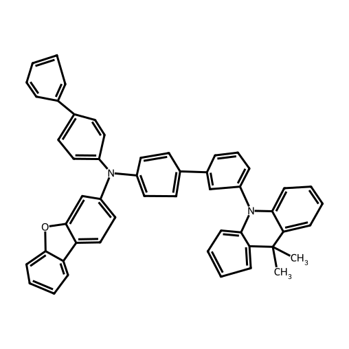 CC1(C)c2ccccc2N(c2cccc(-c3ccc(N(c4ccc(-c5ccccc5)cc4)c4ccc5c(c4)oc4ccccc45)cc3)c2)c2ccccc21